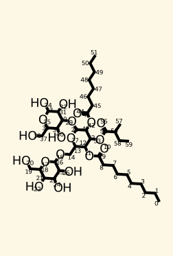 CCCCCCCCCC(=O)OC1C(COC2OC(CO)C(O)C(O)C2O)OC(OC2C(O)C(O)OC(CO)C2O)C(OC(=O)CCCCCCC)C1OC(=O)C(C)CC